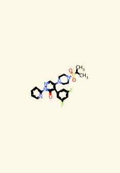 CC(C)S(=O)(=O)N1CCN(c2cnn(-c3ccccn3)c(=O)c2-c2cc(F)cc(F)c2)CC1